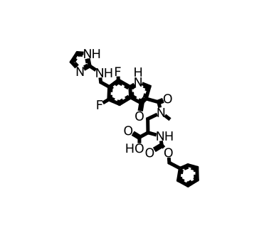 CN(CC(NC(=O)OCc1ccccc1)C(=O)O)C(=O)c1c[nH]c2c(F)c(CNc3ncc[nH]3)c(F)cc2c1=O